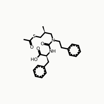 CC(=O)SC[C@@H](C)CN(CCc1ccccc1)C(=O)N[C@@H](Cc1ccccc1)C(=O)O